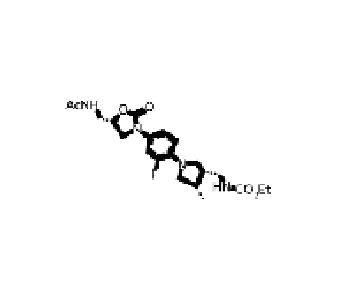 CCOC(=O)NC[C@H]1CN(c2ccc(N3C[C@H](CNC(C)=O)OC3=O)cc2F)C[C@H]1C